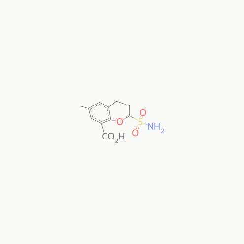 Cc1cc2c(c(C(=O)O)c1)OC(S(N)(=O)=O)CC2